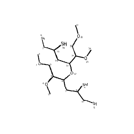 COCC(OC)C(CC(S)CS)OC(CC(S)CS)C(COC)OC